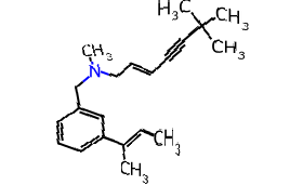 CC=C(C)c1cccc(CN(C)CC=CC#CC(C)(C)C)c1